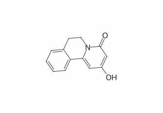 O=c1cc(O)cc2n1CCc1ccccc1-2